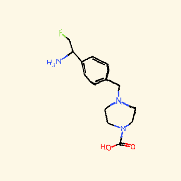 NC(CF)c1ccc(CN2CCN(C(=O)O)CC2)cc1